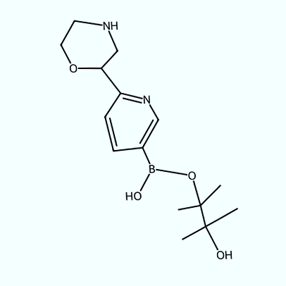 CC(C)(O)C(C)(C)OB(O)c1ccc(C2CNCCO2)nc1